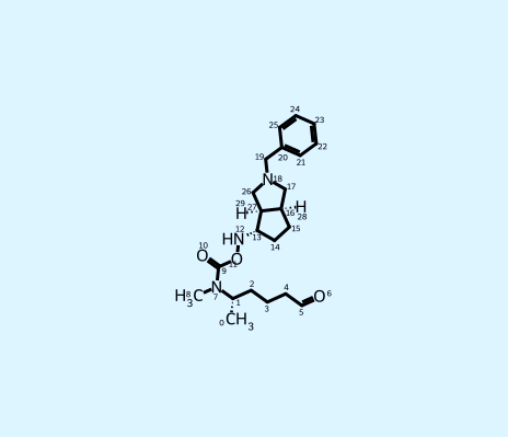 C[C@@H](CCCC=O)N(C)C(=O)ON[C@H]1CC[C@@H]2CN(Cc3ccccc3)C[C@@H]21